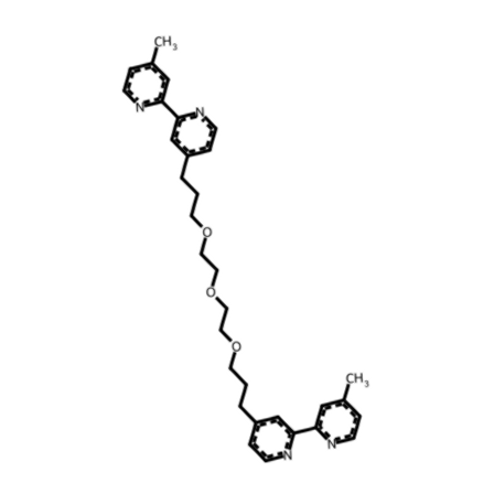 Cc1ccnc(-c2cc(CCCOCCOCCOCCCc3ccnc(-c4cc(C)ccn4)c3)ccn2)c1